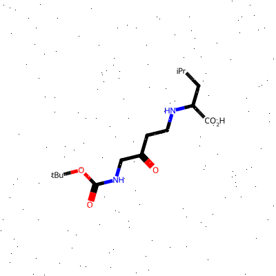 CC(C)CC(NCCC(=O)CNC(=O)OC(C)(C)C)C(=O)O